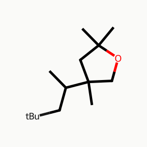 CC(CC(C)(C)C)C1(C)COC(C)(C)C1